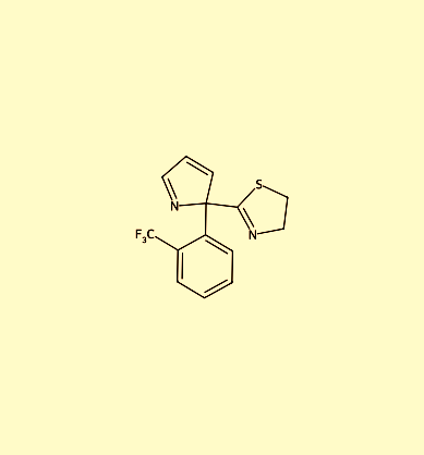 FC(F)(F)c1ccccc1C1(C2=NCCS2)C=CC=N1